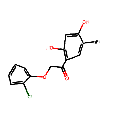 CCCc1cc(C(=O)COc2ccccc2Cl)c(O)cc1O